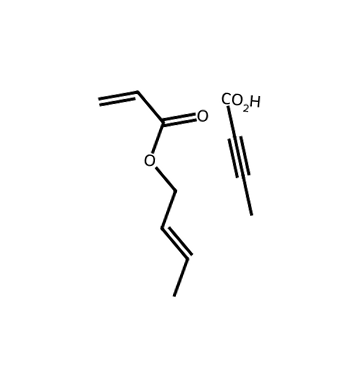 C=CC(=O)OCC=CC.CC#CC(=O)O